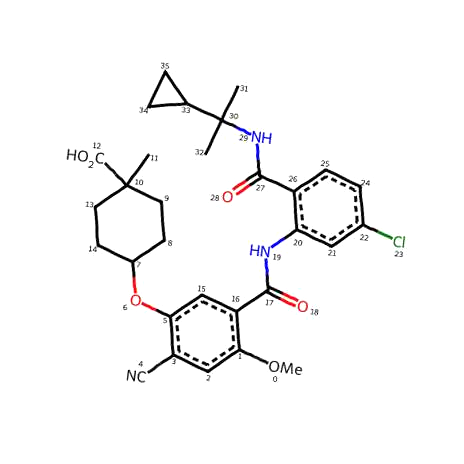 COc1cc(C#N)c(OC2CCC(C)(C(=O)O)CC2)cc1C(=O)Nc1cc(Cl)ccc1C(=O)NC(C)(C)C1CC1